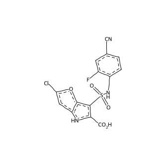 N#Cc1ccc(NS(=O)(=O)c2c(C(=O)O)[nH]c3cc(Cl)oc23)c(F)c1